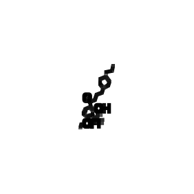 CCCC1CCC(CCCC(=O)c2ccc(OCC)c(C(F)(F)F)c2O)CC1